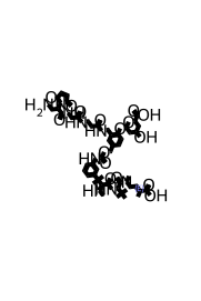 CNC(C(=O)NC(C(=O)N(C)C/C=C(\C)C(=O)O)C(C)(C)C)C(C)(C)c1cccc(NC(=O)OCc2ccc(OC3CC(O)CC(C(=O)O)O3)c(CNC(=O)CCNC(=O)CNC(=O)C(CN)N3C(=O)C=CC3=O)c2)c1